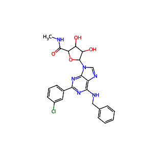 CNC(=O)C1OC(n2cnc3c(NCc4ccccc4)nc(-c4cccc(Cl)c4)nc32)C(O)C1O